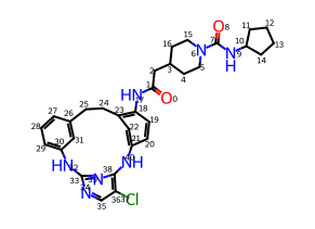 O=C(CC1CCN(C(=O)NC2CCCC2)CC1)Nc1ccc2cc1CCc1cccc(c1)Nc1ncc(Cl)c(n1)N2